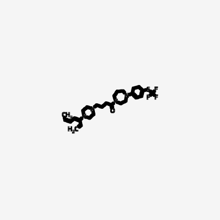 C=C/C(=C\C=C/C)N1CCN(CCCC(=O)N2CCCN(C3=CC=C(SC(F)(F)F)CC3)CC2)CC1